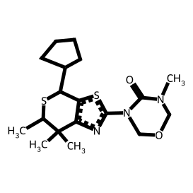 CC1SC(C2CCCC2)c2sc(N3COCN(C)C3=O)nc2C1(C)C